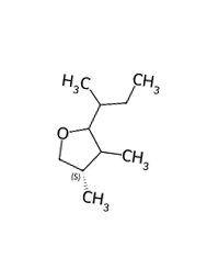 CCC(C)C1OC[C@@H](C)C1C